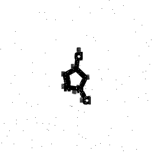 Cl[C]1C=NN(Cl)C1